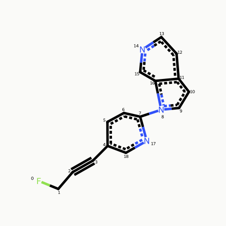 FCC#Cc1ccc(-n2ccc3ccncc32)nc1